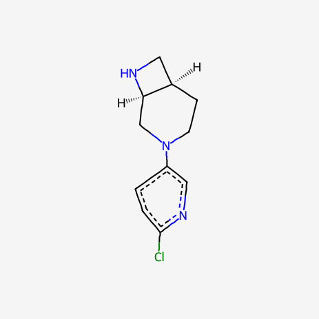 Clc1ccc(N2CC[C@@H]3CN[C@@H]3C2)cn1